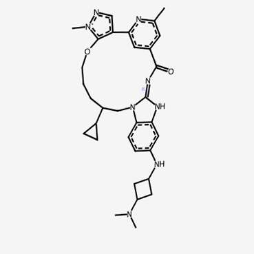 Cc1cc2cc(n1)-c1cnn(C)c1OCCCC(C1CC1)CN1/C(=N/C2=O)Nc2cc(NC3CC(N(C)C)C3)ccc21